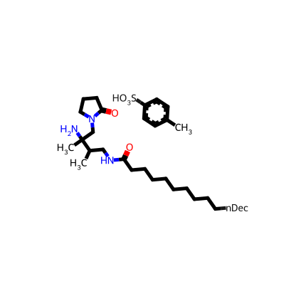 CCCCCCCCCCCCCCCCCCCC(=O)NCC(C)C(C)(N)CN1CCCC1=O.Cc1ccc(S(=O)(=O)O)cc1